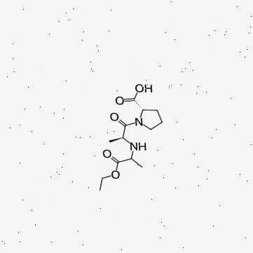 CCOC(=O)C(C)N[C@@H](C)C(=O)N1CCC[C@H]1C(=O)O